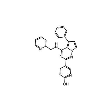 Oc1ccc(-c2nc(NCc3ccccn3)c3c(-c4ccccc4)ccn3n2)cn1